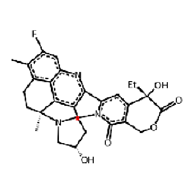 CC[C@@]1(O)C(=O)OCc2c1cc1n(c2=O)Cc2c-1nc1cc(F)c(C)c3c1c2[C@@](C)(N1CC[C@H](O)C1)CC3